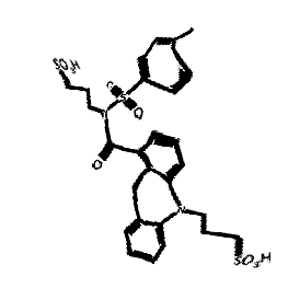 Cc1ccc(S(=O)(=O)N(CCCS(=O)(=O)O)C(=O)c2cccc3c2Cc2ccccc2N3CCCS(=O)(=O)O)cc1